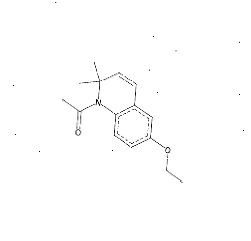 CCOc1ccc2c(c1)C=CC(C)(C)N2C(C)=O